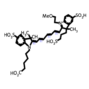 COCC[N+]1=C(/C=C/C=C/C=C/C=C2/N(CCCCCC(=O)O)c3ccc(S(=O)(=O)O)cc3C2(C)C)C(C)(CCCS(=O)(=O)O)c2cc(S(=O)(=O)O)ccc21